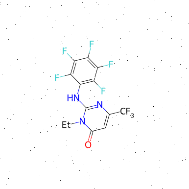 CCn1c(Nc2c(F)c(F)c(F)c(F)c2F)nc(C(F)(F)F)cc1=O